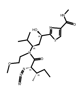 CC[C@H](C)[C@H](N=[N+]=[N-])C(=O)N(CCOC)[C@H](C[C@@H](O)c1nc(C(=O)NC)cs1)C(C)C